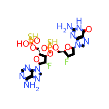 Nc1nc2c(ncn2[C@H]2C[C@@H](F)[C@@H](COP(=O)(S)O[C@H]3[C@H](F)[C@H](n4cnc5c(N)ncnc54)O[C@@H]3COP(=O)(O)S)O2)c(=O)[nH]1